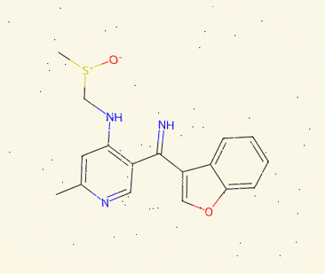 Cc1cc(NC[S+](C)[O-])c(C(=N)c2coc3ccccc23)cn1